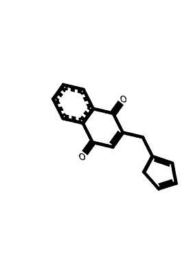 O=C1C=C(CC2=CC=CC2)C(=O)c2ccccc21